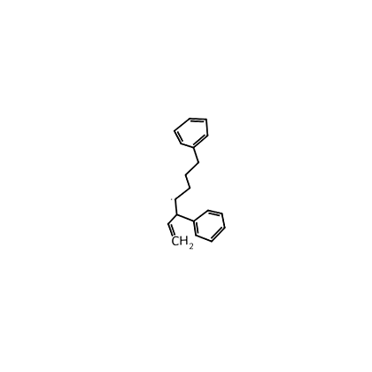 C=CC([CH]CCCc1ccccc1)c1ccccc1